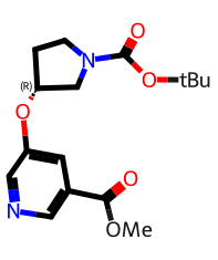 COC(=O)c1cncc(O[C@@H]2CCN(C(=O)OC(C)(C)C)C2)c1